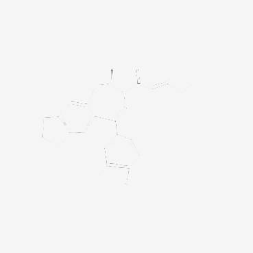 Cc1cc(C2=NN(C(=O)C=CCC(=O)O)[C@H](C)Cc3cc4c(cc32)OCO4)ccc1[N+](=O)[O-]